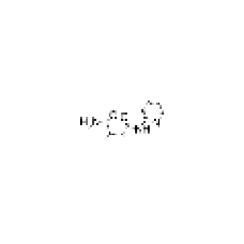 CC([CH]C(=O)Nc1ccccn1)C(N)=O